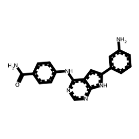 NC(=O)c1ccc(Nc2ncnc3[nH]c(-c4cccc(N)c4)cc23)cc1